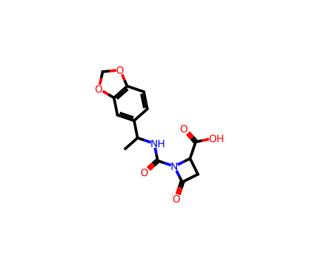 CC(NC(=O)N1C(=O)CC1C(=O)O)c1ccc2c(c1)OCO2